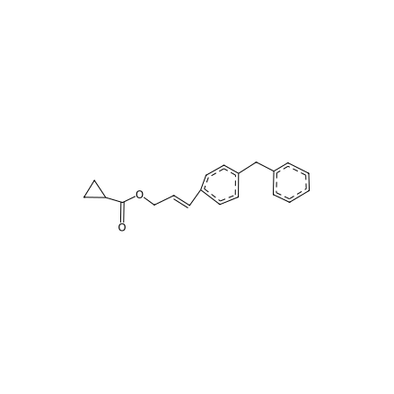 O=C(OC/C=C/c1ccc(Cc2ccccc2)cc1)C1CC1